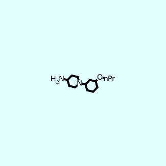 CCCOC1CCCC(N2CCC(N)CC2)C1